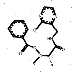 C[C@@H](C(=O)NCc1nccnc1Cl)N(C)OC(=O)c1ccccc1